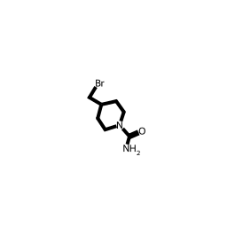 NC(=O)N1CCC(CBr)CC1